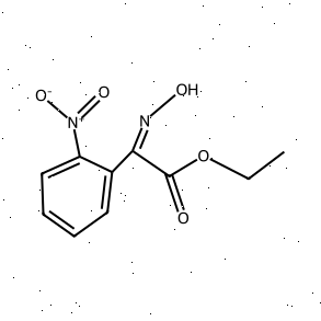 CCOC(=O)C(=NO)c1ccccc1[N+](=O)[O-]